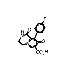 O=C(O)c1cn2c(c(-c3ccc(F)cc3)c1=O)C(=O)NCC2